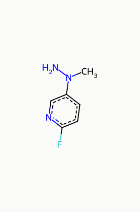 CN(N)c1ccc(F)nc1